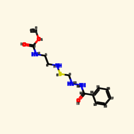 CC(C)(C)OC(=O)NCCNSCNNC(=O)c1ccccc1